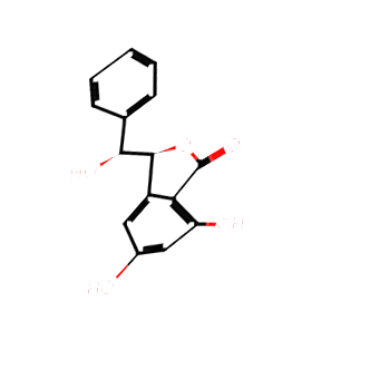 O=C1O[C@H]([C@@H](O)c2ccccc2)c2cc(O)cc(O)c21